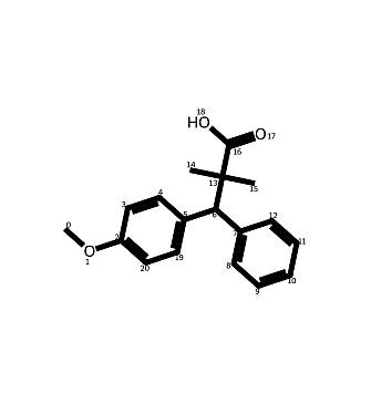 COc1ccc(C(c2ccccc2)C(C)(C)C(=O)O)cc1